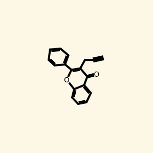 C#CCc1c(-c2ccccc2)oc2ccccc2c1=O